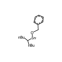 CCCC[CH](CCCC)[Sn][O]Cc1ccccc1